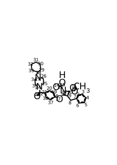 COc1ccccc1CC1C(=O)N(C(=O)O)C1Oc1ccc(C(=O)N2CCN(C3CCCCC3)CC2)cc1